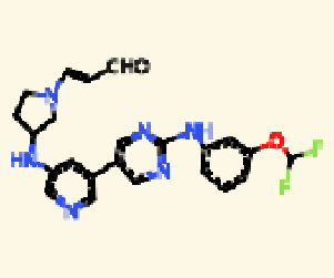 O=CC=CN1CC[C@H](Nc2cncc(-c3cnc(Nc4cccc(OC(F)F)c4)nc3)c2)C1